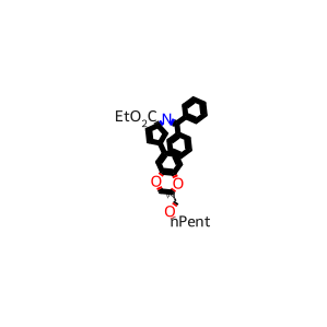 CCCCCOC[C@@H]1COc2cc(C3C=CC(N=C(c4ccccc4)c4ccccc4)(C(=O)OCC)C3)ccc2O1